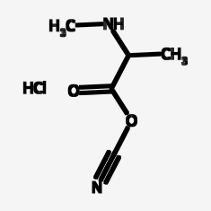 CNC(C)C(=O)OC#N.Cl